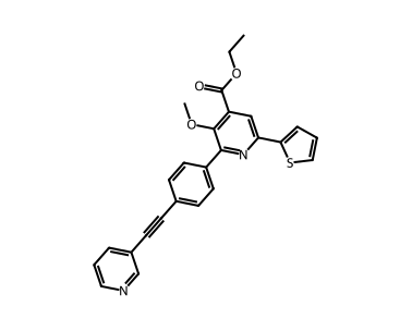 CCOC(=O)c1cc(-c2cccs2)nc(-c2ccc(C#Cc3cccnc3)cc2)c1OC